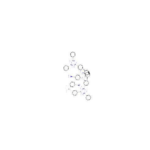 N#Cc1cc(C(F)(F)F)ccc1-c1cc(-n2c3ccccc3c3ccc(-c4nc(-c5ccccc5)nc(-c5ccccc5)n4)cc32)c(-n2c3ccccc3c3ccc(-c4nc(-c5ccccc5)nc(-c5ccccc5)n4)cc32)cc1C#N